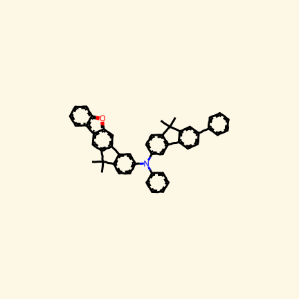 CC1(C)c2ccc(N(c3ccccc3)c3ccc4c(c3)-c3cc5oc6ccccc6c5cc3C4(C)C)cc2-c2ccc(-c3ccccc3)cc21